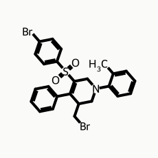 Cc1ccccc1N1CC(S(=O)(=O)c2ccc(Br)cc2)=C(c2ccccc2)C(CBr)C1